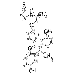 CC1=C(c2cccc(O)c2)C(c2ccc(OC[C@H](C)N3CC[C@@H](F)C3)cc2)Oc2ccc(O)cc21